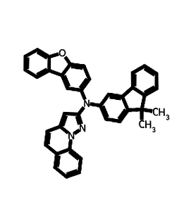 CC1(C)c2ccccc2-c2cc(N(c3ccc4oc5ccccc5c4c3)c3cc4ccc5ccccc5n4n3)ccc21